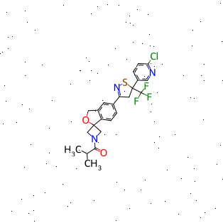 CC(C)C(=O)N1CC2(C1)OCc1cc(C3=NSC(c4ccc(Cl)nc4)(C(F)(F)F)C3)ccc12